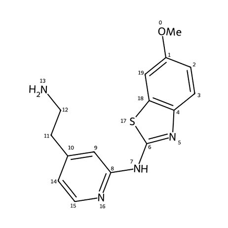 COc1ccc2nc(Nc3cc(CCN)ccn3)sc2c1